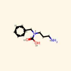 NCCCN(Cc1ccccc1)C(=O)O